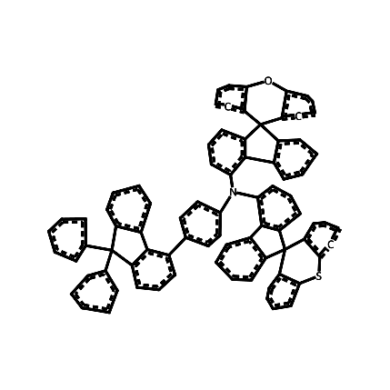 c1ccc(C2(c3ccccc3)c3ccccc3-c3c(-c4ccc(N(c5cccc6c5-c5ccccc5C65c6ccccc6Oc6ccccc65)c5cccc6c5-c5ccccc5C65c6ccccc6Sc6ccccc65)cc4)cccc32)cc1